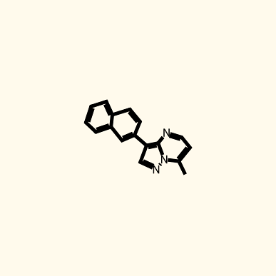 Cc1ccnc2c(-c3ccc4ccccc4c3)cnn12